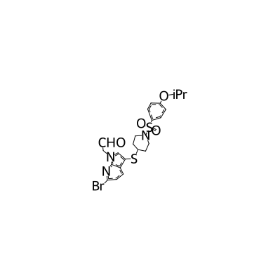 CC(C)Oc1ccc(S(=O)(=O)N2CCC(Sc3cn(CC=O)c4nc(Br)ccc34)CC2)cc1